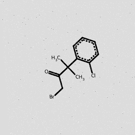 CC(C)(C(=O)CBr)c1ccccc1Cl